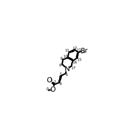 COC(=O)/C=C/CN1CCc2ccc(Br)cc2C1